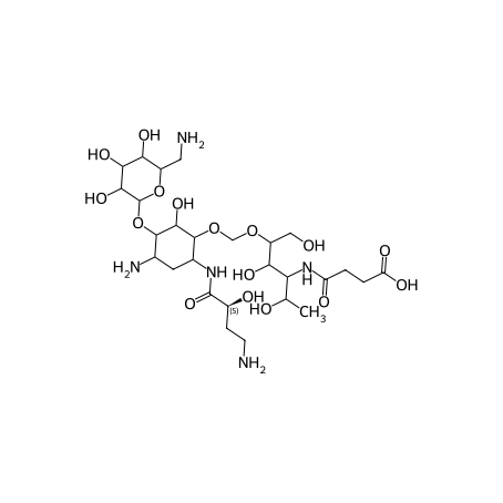 CC(O)C(NC(=O)CCC(=O)O)C(O)C(CO)OCOC1C(NC(=O)[C@@H](O)CCN)CC(N)C(OC2OC(CN)C(O)C(O)C2O)C1O